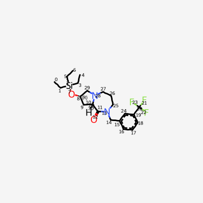 CC[Si](CC)(CC)O[C@@H]1C[C@H]2C(=O)N(Cc3cccc(C(F)(F)F)c3)CCCN2C1